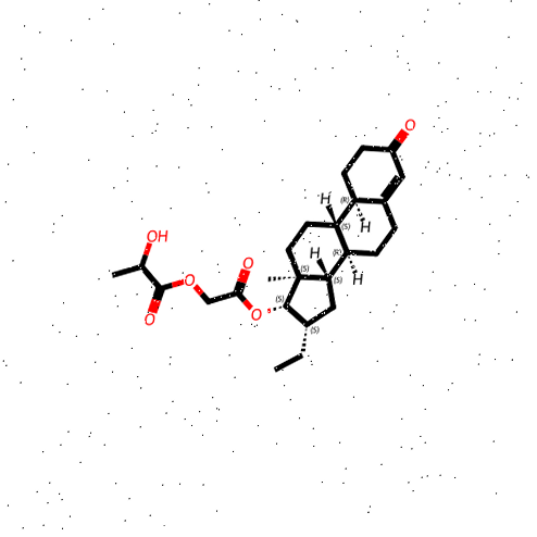 CC[C@H]1C[C@H]2[C@@H]3CCC4=CC(=O)CC[C@@H]4[C@H]3CC[C@]2(C)[C@H]1OC(=O)COC(=O)C(C)O